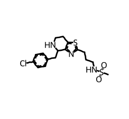 CS(=O)(=O)NCCCc1nc2c(s1)CCNC2Cc1ccc(Cl)cc1